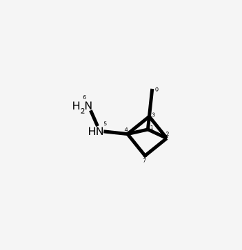 CC1C2CC1(NN)C2